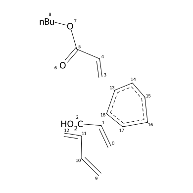 C=CC(=O)O.C=CC(=O)OCCCC.C=CC=C.c1ccccc1